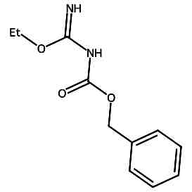 CCOC(=N)NC(=O)OCc1ccccc1